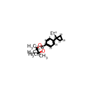 CCC1(c2ccc(B3OC(C)(C)C(C)(C)O3)cc2)CCC1